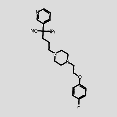 CC(C)C(C#N)(CCCN1CCN(CCOc2ccc(F)cc2)CC1)c1cccnc1